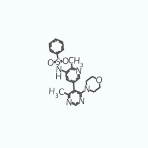 Cc1ncc(-c2c(C)ncnc2N2CCOCC2)cc1NS(=O)(=O)c1ccccc1